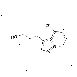 OCCCc1cnn2cccc(Br)c12